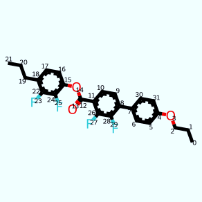 CCCOc1ccc(-c2ccc(C(=O)Oc3ccc(CCC)c(F)c3F)c(F)c2F)cc1